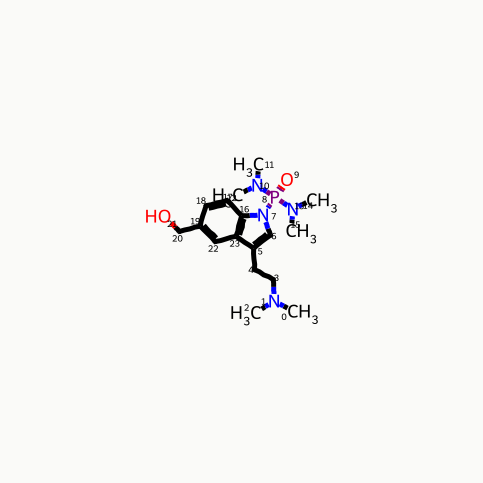 CN(C)CCc1cn(P(=O)(N(C)C)N(C)C)c2ccc(CO)cc12